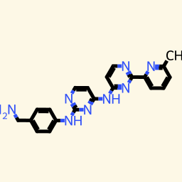 Cc1cccc(-c2nccc(Nc3ccnc(Nc4ccc(CN)cc4)n3)n2)n1